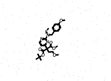 COCCC(C(=O)OC)(C(=O)OC(C)(C)C)c1ccnc(N(Cc2ccc(OC)cc2)SC)n1